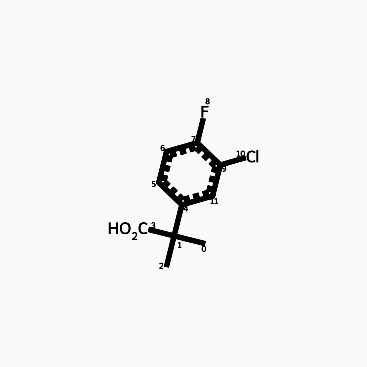 CC(C)(C(=O)O)c1ccc(F)c(Cl)c1